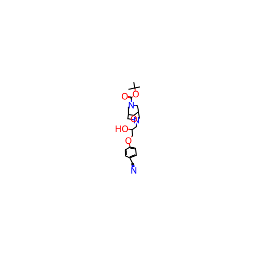 CC(C)(C)OC(=O)N1CC2CN(CC(O)COc3ccc(C#N)cc3)CC(C1)C2=O